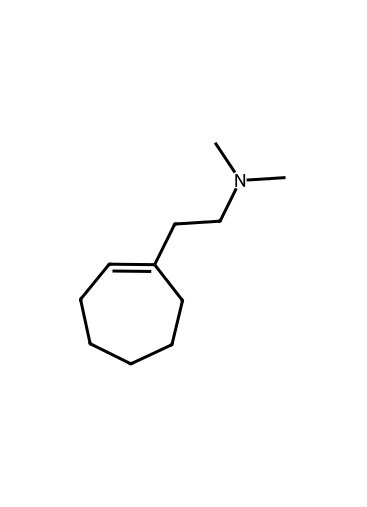 CN(C)CCC1=CCCCCC1